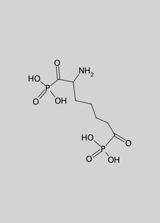 NC(CCCCC(=O)P(=O)(O)O)C(=O)P(=O)(O)O